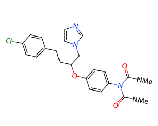 CNC(=O)N(C(=O)NC)c1ccc(OC(CCc2ccc(Cl)cc2)Cn2ccnc2)cc1